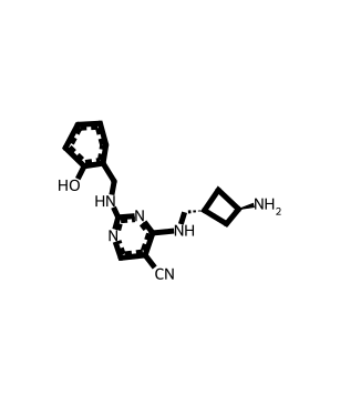 N#Cc1cnc(NCc2ccccc2O)nc1NC[C@H]1C[C@H](N)C1